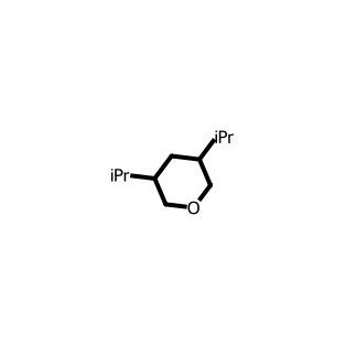 CC(C)C1COCC(C(C)C)C1